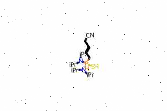 CC(C)N(C(C)C)[PH](S)(CC=CCC#N)N(C(C)C)C(C)C